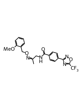 COc1ccccc1CON=C(C)CNC(=O)c1ccc(-c2noc(C(F)(F)F)n2)cc1